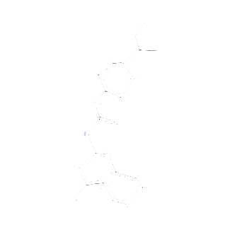 CCC(C)c1ccc(NC(=N)Nc2nc(C)c3ccccc3n2)cc1